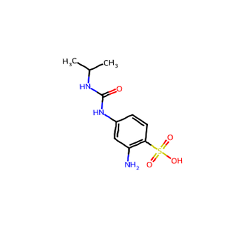 CC(C)NC(=O)Nc1ccc(S(=O)(=O)O)c(N)c1